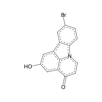 O=c1ccn2c3ccc(Br)cc3c3cc(O)cc1c32